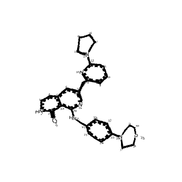 O=c1[nH]ccc2cc(-c3cccc(N4CCCC4)n3)nc(Nc3ccc(N4CCOCC4)cc3)c12